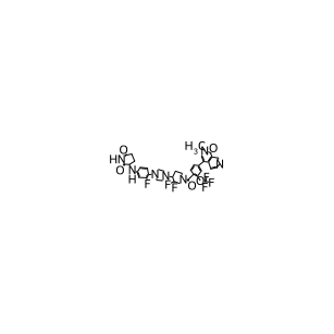 Cn1cc(-c2ccc(C(=O)N3CCC(N4CCN(c5ccc(NC6CCC(=O)NC6=O)cc5F)CC4)C(F)(F)C3)c(OC(F)(F)F)c2)c2ccncc2c1=O